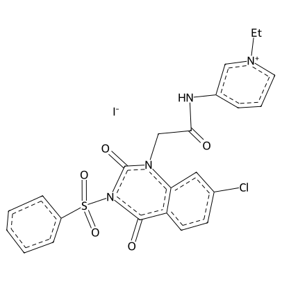 CC[n+]1cccc(NC(=O)Cn2c(=O)n(S(=O)(=O)c3ccccc3)c(=O)c3ccc(Cl)cc32)c1.[I-]